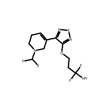 CCCC(F)(F)CCOc1nsnc1C1=CCCN(C(F)F)C1